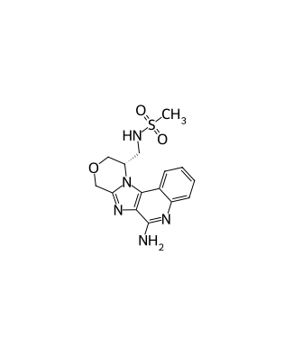 CS(=O)(=O)NC[C@H]1COCc2nc3c(N)nc4ccccc4c3n21